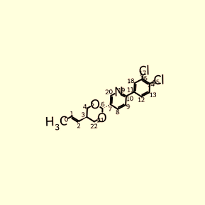 CC=C[C@H]1CO[C@H](c2ccc(-c3ccc(Cl)c(Cl)c3)nc2)OC1